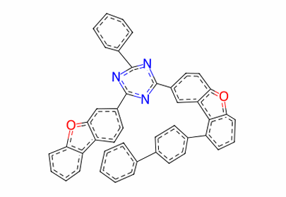 c1ccc(-c2ccc(-c3cccc4oc5ccc(-c6nc(-c7ccccc7)nc(-c7ccc8c(c7)oc7ccccc78)n6)cc5c34)cc2)cc1